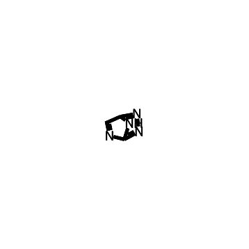 c1nc2nnc1[nH]2